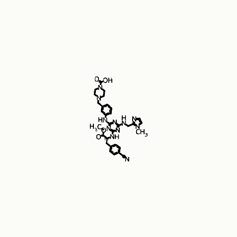 COC(=O)[C@H](Cc1ccc(C#N)cc1)Nc1nc(NCc2nccn2C)nc(Nc2cccc(CN3CCN(C(=O)O)CC3)c2)n1